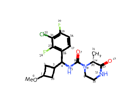 COC1CC(C(NC(=O)N2CCNC(=O)[C@H]2C)c2ccc(F)c(Cl)c2F)C1